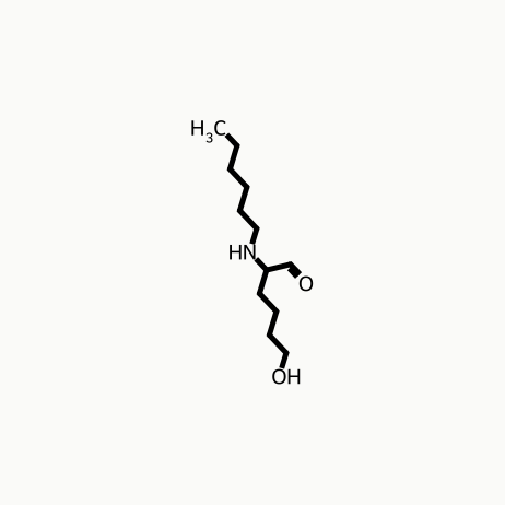 CCCCCCNC(C=O)CCCCO